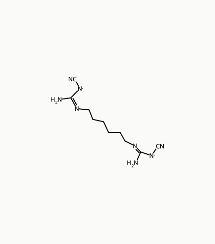 N#C[N]C(N)=NCCCCCCN=C(N)[N]C#N